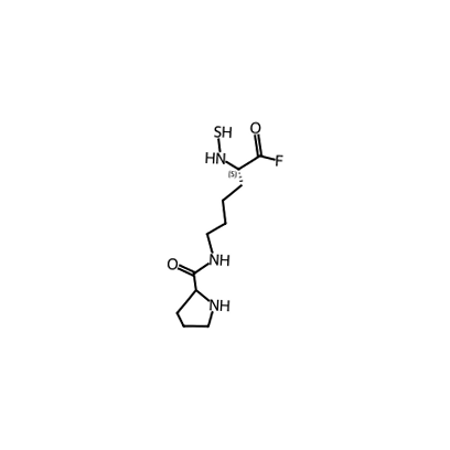 O=C(NCCCC[C@H](NS)C(=O)F)C1CCCN1